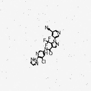 N#Cc1cncc(-n2ncc(C(=O)Nc3cnc(-n4nccn4)c(Cl)c3)c2C(F)(F)F)c1